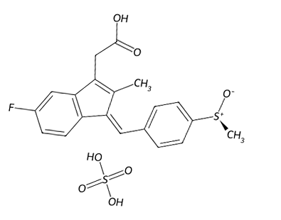 CC1=C(CC(=O)O)c2cc(F)ccc2C1=Cc1ccc([S@+](C)[O-])cc1.O=S(=O)(O)O